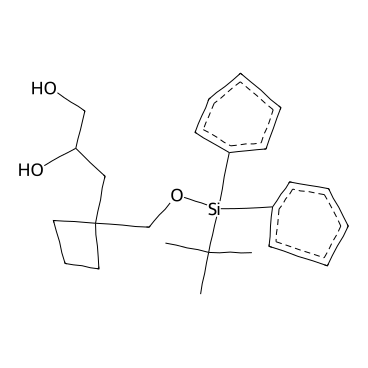 CC(C)(C)[Si](OCC1(CC(O)CO)CCC1)(c1ccccc1)c1ccccc1